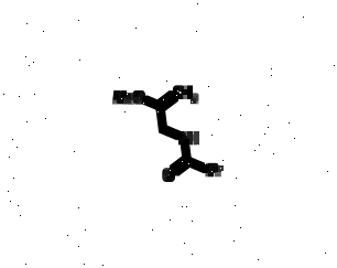 C=C(CNC(=O)C(C)C)OC